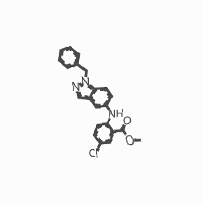 COC(=O)c1cc(Cl)ccc1Nc1ccc2c(cnn2Cc2ccccc2)c1